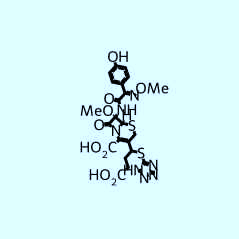 CON=C(C(=O)N[C@]1(OC)C(=O)N2C(C(=O)O)=C(C(CCC(=O)O)Sc3nnn[nH]3)CS[C@H]21)c1ccc(O)cc1